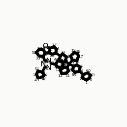 c1ccc(-c2ccc(C(c3ccccc3)(c3ccccc3)c3ccc(-c4ccc5oc6cccc(-c7nc(-c8ccccc8)nc(-c8ccccc8)n7)c6c5c4)cc3)cc2)cc1